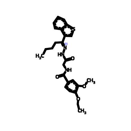 CCCC/C(=N\NC(=O)CNC(=O)c1ccc(OCC)c(OC)c1)c1csc2ccccc12